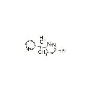 CC(C)c1ccc(C(C)(C)c2cccnc2)nn1